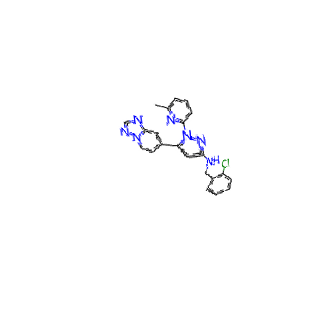 Cc1cccc(-n2nc(NCc3ccccc3Cl)cc2-c2ccn3ncnc3c2)n1